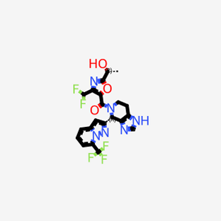 C[C@@H](O)c1nc(C(F)F)c(C(=O)N2CCc3[nH]cnc3[C@@H]2c2cc3cccc(C(F)(F)F)n3n2)o1